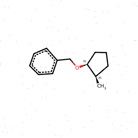 C[C@@H]1CCC[C@@H]1OCc1ccccc1